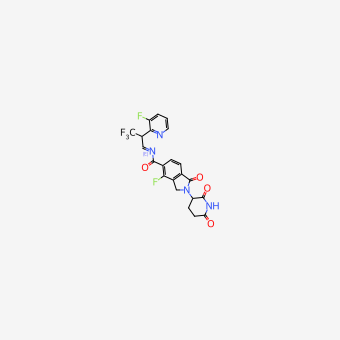 O=C1CCC(N2Cc3c(ccc(C(=O)/N=C/C(c4ncccc4F)C(F)(F)F)c3F)C2=O)C(=O)N1